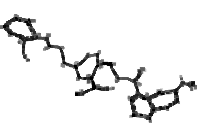 COc1ccc2nccc(C(F)CC[C@@H]3CCN(CCCSc4ncccc4F)C[C@@H]3C(=O)O)c2c1